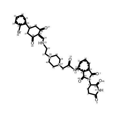 O=C1CCC(N2C(=O)c3cccc(NC(=O)CN4CCN(CCNC=C5C(=O)CC(c6ccccc6Br)CC5=O)CC4)c3C2=O)C(=O)N1